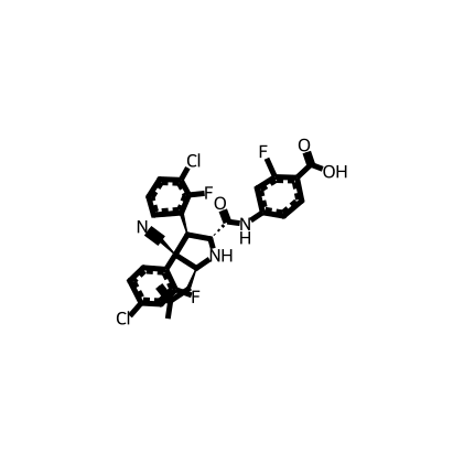 C=C(C)C[C@@H]1N[C@@H](C(=O)Nc2ccc(C(=O)O)c(F)c2)[C@H](c2cccc(Cl)c2F)[C@@]1(C#N)c1ccc(Cl)cc1F